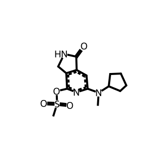 CN(c1cc2c(c(OS(C)(=O)=O)n1)CNC2=O)C1CCCC1